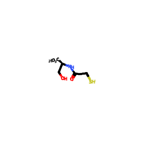 O=C(CS)N[C@@H](CO)C(=O)O